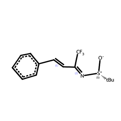 CC(C)(C)[S@@+]([O-])/N=C(/C=C/c1ccccc1)C(F)(F)F